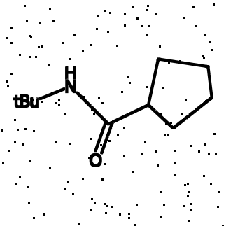 CC(C)(C)NC(=O)C1CCCC1